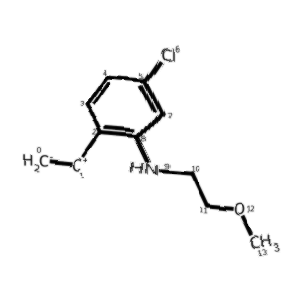 [CH2-][CH+]c1ccc(Cl)cc1NCCOC